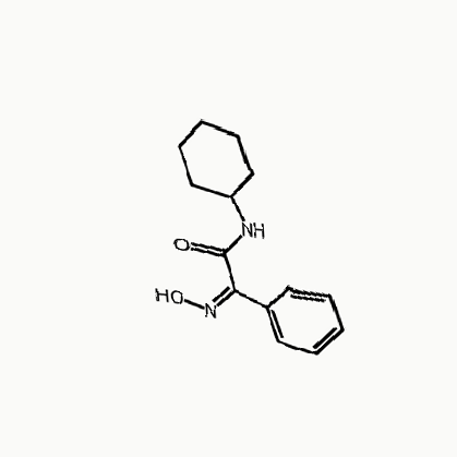 O=C(NC1CCCCC1)/C(=N\O)c1ccccc1